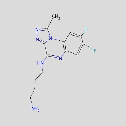 Cc1nnc2c(NCCCCN)nc3cc(F)c(F)cc3n12